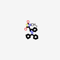 CN1C(=O)SC(=O)C1c1cn(C(c2ccccc2)c2ccccc2)c2ccccc12